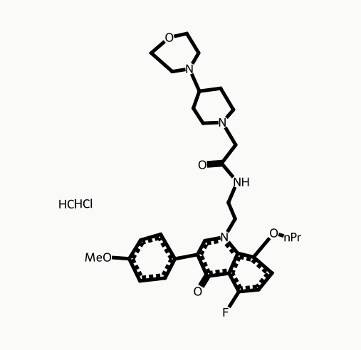 CCCOc1ccc(F)c2c(=O)c(-c3ccc(OC)cc3)cn(CCNC(=O)CN3CCC(N4CCOCC4)CC3)c12.Cl.Cl